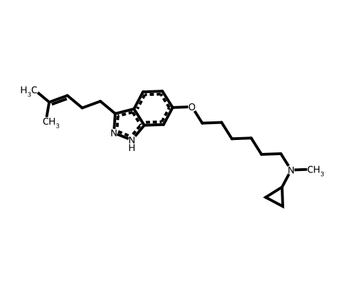 CC(C)=CCCc1n[nH]c2cc(OCCCCCCN(C)C3CC3)ccc12